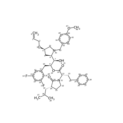 C=CCO[C@@H]1C[C@H]([C@@H](O)[C@H](Cc2cc(F)cc(F)c2)OC(=O)[C@H](CCc2ccccc2)N2CC[C@H](CC(C)C)C2=O)N(Cc2ccc(OC)cc2)C1